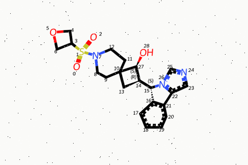 O=S(=O)(C1COC1)N1CCC2(CC1)C[C@H]([C@H]1c3ccccc3-c3cncn31)[C@@H]2O